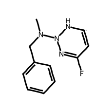 CN(Cc1ccccc1)N1N=C(F)C=[C]N1